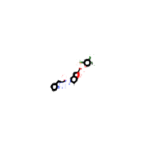 O=C(Nc1ccc2oc(C(=O)Oc3cc(Cl)c(Cl)cc3Cl)cc2c1)c1cc2ccccc2[nH]1